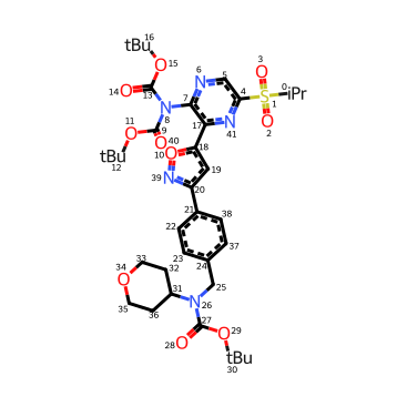 CC(C)S(=O)(=O)c1cnc(N(C(=O)OC(C)(C)C)C(=O)OC(C)(C)C)c(-c2cc(-c3ccc(CN(C(=O)OC(C)(C)C)C4CCOCC4)cc3)no2)n1